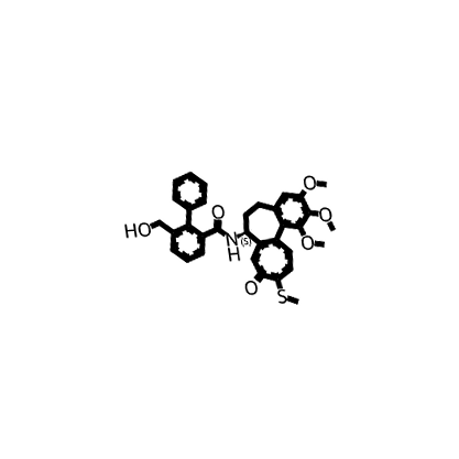 COc1cc2c(c(OC)c1OC)-c1ccc(SC)c(=O)cc1[C@@H](NC(=O)c1cccc(CO)c1-c1ccccc1)CC2